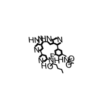 CCCCC(O)Nc1cncc(-c2cc3c(-c4cc5c(-c6cc(F)cc(CNS(C)(=O)=O)c6)cncc5[nH]4)n[nH]c3cn2)c1